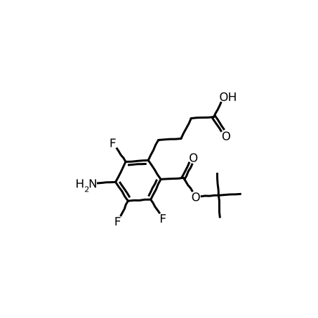 CC(C)(C)OC(=O)c1c(F)c(F)c(N)c(F)c1CCCC(=O)O